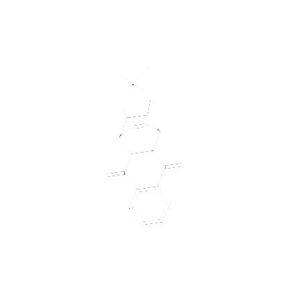 CC1(C)OC2C3C=CC(C2O1)C1C(=O)c2ccccc2C(=O)C31